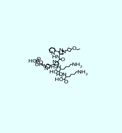 CCOC1CC(n2cc(NC(=O)c3csc(-c4cnn(COP(=O)(O)O)c4)n3)c(-c3ccccn3)n2)C1.NCCCCC(N)C(=O)O.NCCCCC(N)C(=O)O